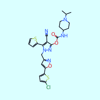 CC(C)N1CCC(NC(=O)Oc2nn(Cc3cc(-c4ccc(Cl)s4)on3)c(-c3cccs3)c2C#N)CC1